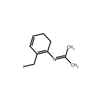 CC(C)=NC1=C(CI)C=CCC1